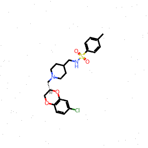 Cc1ccc(S(=O)(=O)NCC2CCN(C[C@H]3COc4ccc(Cl)cc4O3)CC2)cc1